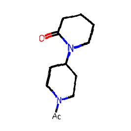 [CH2]C(=O)N1CCC(N2CCCCC2=O)CC1